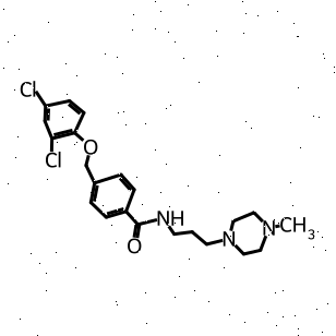 CN1CCN(CCCNC(=O)c2ccc(COc3ccc(Cl)cc3Cl)cc2)CC1